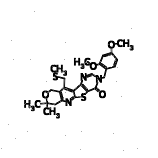 COc1ccc(Cn2cnc3c(sc4nc5c(c(CSC)c43)COC(C)(C)C5)c2=O)c(OC)c1